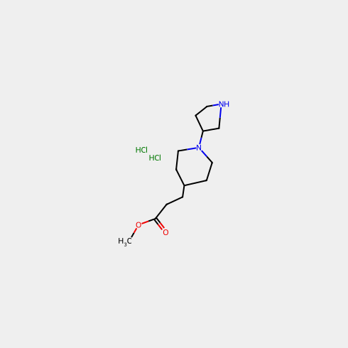 COC(=O)CCC1CCN(C2CCNC2)CC1.Cl.Cl